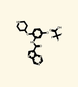 O=C(Nc1cc(Cl)ccc1OC1CCNCC1)c1csc2cncnc12.O=C(O)C(F)(F)F